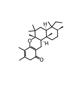 CCC1(C)[C@@H](C)CC[C@]2(C)[C@H]3CC4=C(O[C@]3(C)C(C)(C)C[C@@H]12)C(C)=C(C)CC4=O